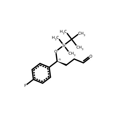 CC(C)(C)[Si](C)(C)O[C@@H](CCC=O)c1ccc(F)cc1